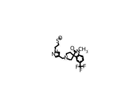 CN1C(=O)C2(CCN(Cc3cnn(CC[S+]=O)c3)CC2)c2cc(C(F)(F)F)ccc21